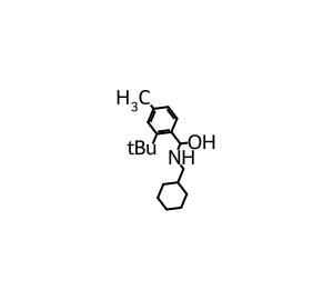 Cc1ccc(C(O)NCC2CCCCC2)c(C(C)(C)C)c1